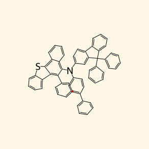 c1ccc(-c2ccc(N(c3ccc4c(c3)C(c3ccccc3)(c3ccccc3)c3ccccc3-4)c3c(-c4ccccc4)c4c5ccccc5sc4c4ccccc34)cc2)cc1